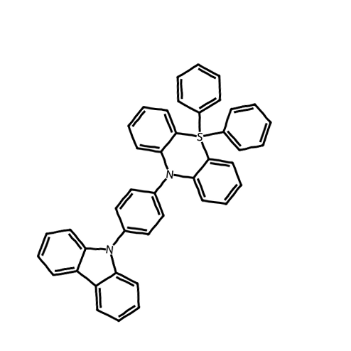 c1ccc(S2(c3ccccc3)c3ccccc3N(c3ccc(-n4c5ccccc5c5ccccc54)cc3)c3ccccc32)cc1